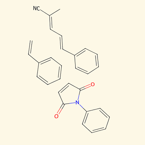 C=Cc1ccccc1.CC(C#N)=CC=Cc1ccccc1.O=C1C=CC(=O)N1c1ccccc1